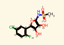 CS(=O)(=O)Nc1oc(-c2cc(Cl)ccc2F)c(O)c1O